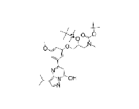 COc1cc(OCC(CN(C)C(=O)OC(C)(C)C)O[Si](C)(C)C(C)(C)C)cc(-c2cc(O)n3ncc(C(C)C)c3n2)c1